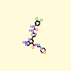 O=C(Nc1ccc(Cl)c(Cl)c1)Nc1ncc(-c2cc(C(=O)NCCN3CCOCC3)c3cn[nH]c3n2)s1